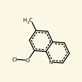 Cc1cc(OCl)c2ncccc2c1